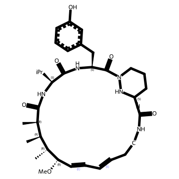 CO[C@H]1/C=C/C=C/CCNC(=O)[C@@H]2CCCN(N2)C(=O)[C@H](Cc2cccc(O)c2)NC(=O)[C@H](C(C)C)NC(=O)[C@H](C)[C@H](C)[C@H]1C